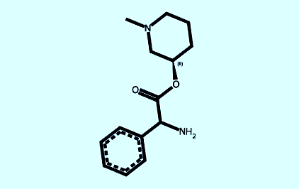 CN1CCC[C@@H](OC(=O)C(N)c2ccccc2)C1